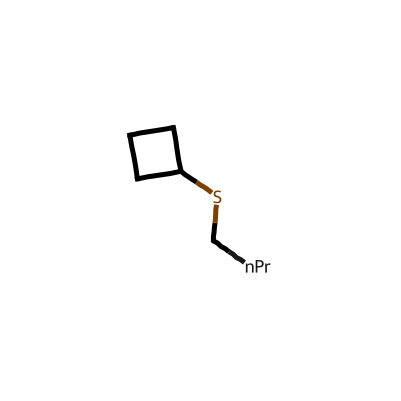 C[CH]CCSC1CCC1